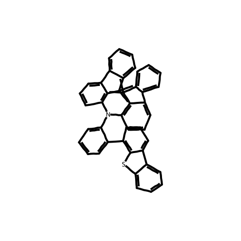 CC1(C)c2ccccc2-c2cccc(N(c3ccccc3-c3cccc4c3sc3ccccc34)c3cccc4c3C(C)(C)c3ccccc3-4)c21